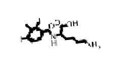 NCCCCC(NC(=O)c1ccc(I)c(I)c1I)C(=O)O